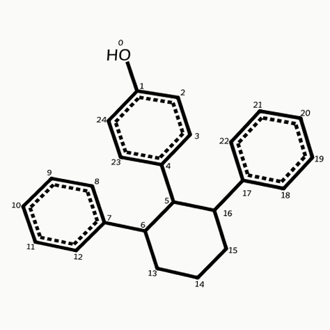 Oc1ccc(C2C(c3ccccc3)CCCC2c2ccccc2)cc1